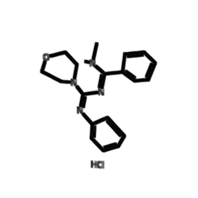 CN(C)C(=NC(=Nc1ccccc1)N1CCOCC1)c1ccccc1.Cl